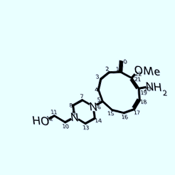 C=C1CCCC(N2CCN(CCO)CC2)CC/C=C\C(N)=C/1OC